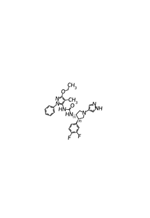 CCOc1nn(-c2ccccc2)c(NC(=O)N[C@@H]2CN(c3cn[nH]c3)C[C@H]2c2ccc(F)c(F)c2)c1C